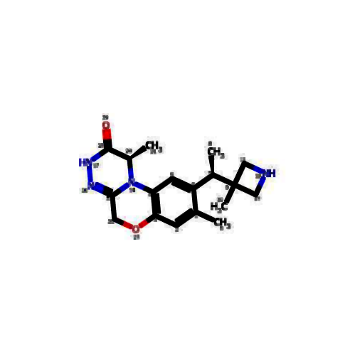 Cc1cc2c(cc1[C@@H](C)C1(C)CNC1)N1C(=NNC(=O)[C@H]1C)CO2